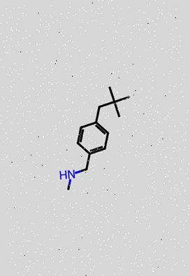 CNCc1ccc(CC(C)(C)C)cc1